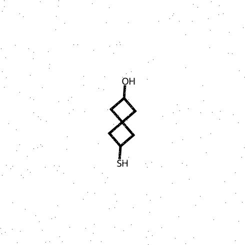 OC1CC2(C1)CC(S)C2